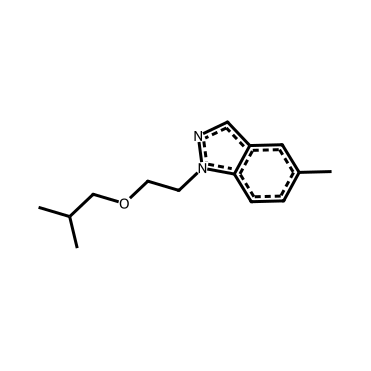 Cc1ccc2c(cnn2CCOCC(C)C)c1